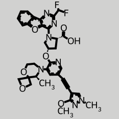 COc1nn(C)cc1C#Cc1cnc(O[C@H]2C[C@@H](C(=O)O)N(c3nc(C(F)F)nc4c3oc3ccccc34)C2)c(N2CCOC3(COC3)[C@@H]2C)c1